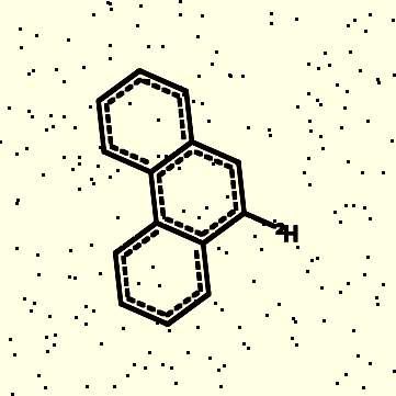 [2H]c1cc2ccccc2c2ccccc12